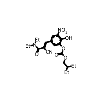 CCC(CC)COC(=O)Oc1cc(/C=C(\C#N)C(=O)N(CC)CC)cc([N+](=O)[O-])c1O